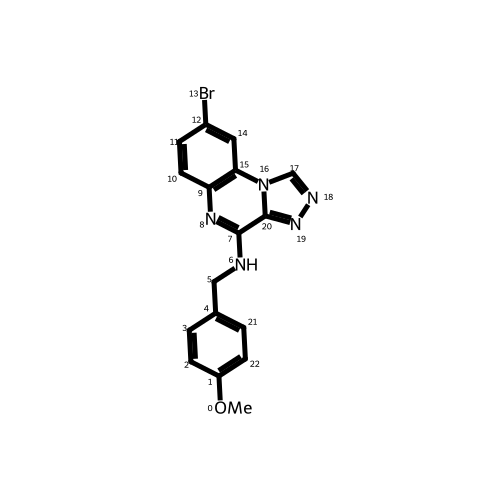 COc1ccc(CNc2nc3ccc(Br)cc3n3cnnc23)cc1